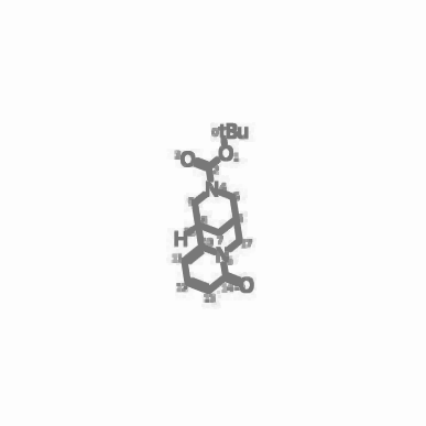 CC(C)(C)OC(=O)N1CC2C[C@@H](C1)c1cccc(=O)n1C2